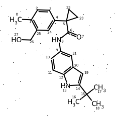 Cc1ccc(C2(C(=O)Nc3ccc4[nH]c(C(C)(C)C)cc4c3)CC2)cc1CO